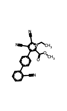 CCn1c(C#N)c(C#N)c(-c2ccc(-c3ccccc3C#N)cc2)c1C(=O)OC